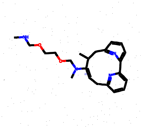 CNCOCCOCN(C)/C1=C/Cc2cccc(n2)-c2cccc(n2)CC1C